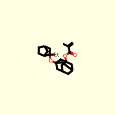 C=C(C)C(=O)OC12CC3CC(C1)CC(OC1(CC)CC4CCC1C4)(C3)C2